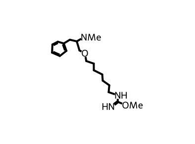 CNC(COCCCCCCCNC(=N)OC)Cc1ccccc1